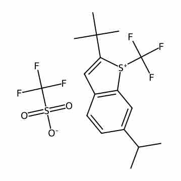 CC(C)c1ccc2cc(C(C)(C)C)[s+](C(F)(F)F)c2c1.O=S(=O)([O-])C(F)(F)F